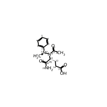 C=[N+](c1ccccc1)N(C(C)=O)[C@H](CCC(=O)O)C(N)=O